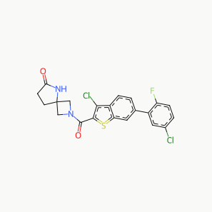 O=C1CCC2(CN(C(=O)c3sc4cc(-c5cc(Cl)ccc5F)ccc4c3Cl)C2)N1